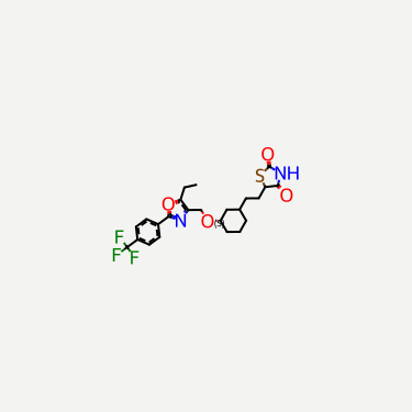 CCc1oc(-c2ccc(C(F)(F)F)cc2)nc1CO[C@H]1CCCC(CCC2SC(=O)NC2=O)C1